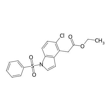 CCOC(=O)Cc1c(Cl)ccc2c1ccn2S(=O)(=O)c1ccccc1